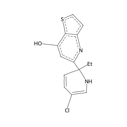 CCC1(c2cc(O)c3sccc3n2)C=CC(Cl)=CN1